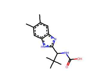 Cc1cc2nc(C(NC(=O)O)C(C)(C)C)[nH]c2cc1C